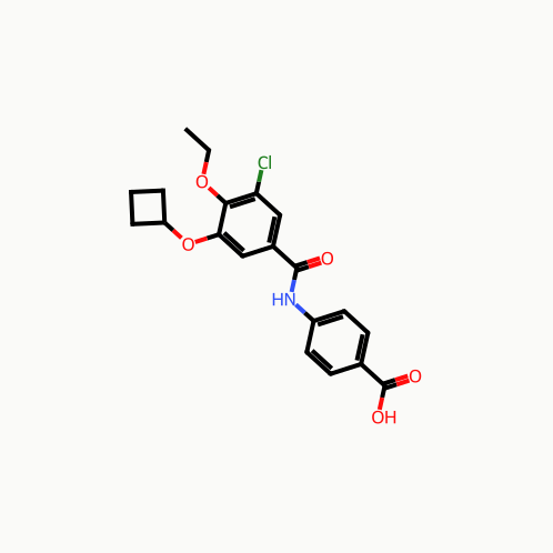 CCOc1c(Cl)cc(C(=O)Nc2ccc(C(=O)O)cc2)cc1OC1CCC1